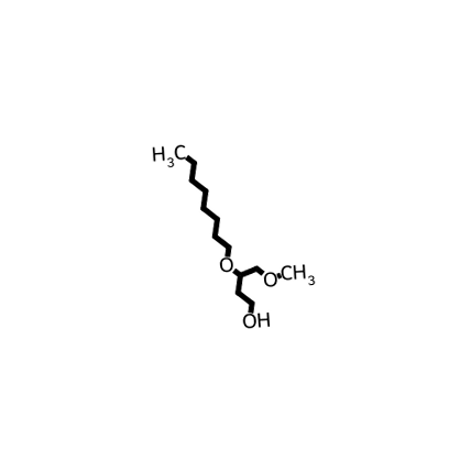 CCCCCCCCOC(CCO)COC